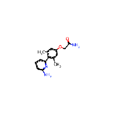 Cc1cc(OCC(N)=O)cc(C)c1-c1cccc(N)n1